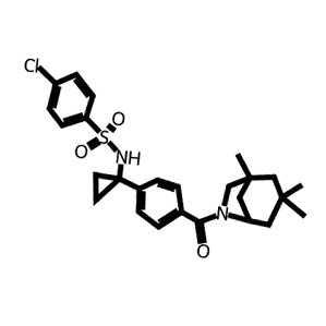 CC1(C)CC2CC(C)(CN2C(=O)c2ccc(C3(NS(=O)(=O)c4ccc(Cl)cc4)CC3)cc2)C1